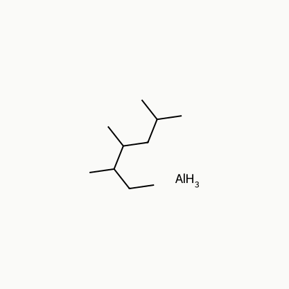 CCC(C)C(C)CC(C)C.[AlH3]